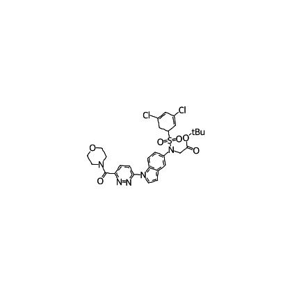 CC(C)(C)OC(=O)CN(c1ccc2c(ccn2-c2ccc(C(=O)N3CCOCC3)nn2)c1)S(=O)(=O)C1C=C(Cl)C=C(Cl)C1